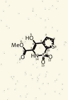 COC(=O)C1=C(O)c2ccsc2S(=O)(=O)N1